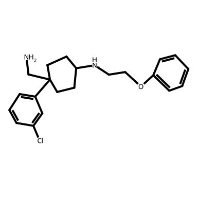 NCC1(c2cccc(Cl)c2)CCC(NCCOc2ccccc2)CC1